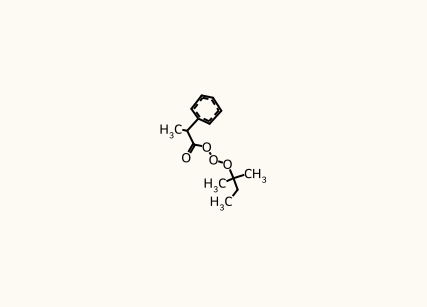 CCC(C)(C)OOOC(=O)C(C)c1ccccc1